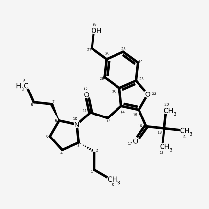 CCC[C@@H]1CC[C@@H](CCC)N1C(=O)Cc1c(C(=O)C(C)(C)C)oc2ccc(CO)cc12